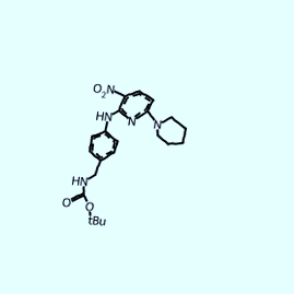 CC(C)(C)OC(=O)NCc1ccc(Nc2nc(N3CCCCC3)ccc2[N+](=O)[O-])cc1